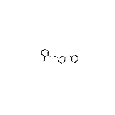 CCc1ccccc1NCc1cccc(Oc2ccccc2)c1